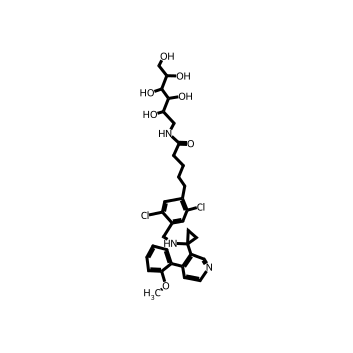 COc1ccccc1-c1ccncc1C1(NCc2cc(Cl)c(CCCCC(=O)NCC(O)C(O)C(O)C(O)CO)cc2Cl)CC1